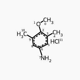 COc1c(C)cc(N)cc1C.Cl